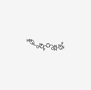 O=C(Cc1ccc(-c2cnc(OCCN3CCNCC3)cc2F)cc1)NCc1ccnc(F)n1